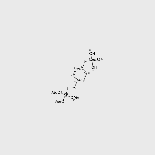 CO[Si](CCc1ccc(CP(=O)(O)O)cc1)(OC)OC